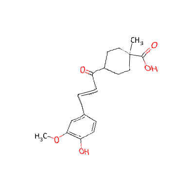 COc1cc(C=CC(=O)C2CCC(C)(C(=O)O)CC2)ccc1O